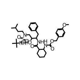 COc1ccc(COC(=O)NC2CCCCC2C(=O)NC(Cc2ccccc2)C(O)CN(CCC(C)C)S(=O)(=O)NC(C)(C)C)cc1